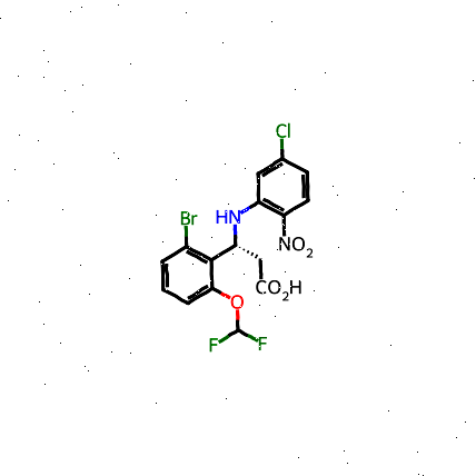 O=C(O)C[C@@H](Nc1cc(Cl)ccc1[N+](=O)[O-])c1c(Br)cccc1OC(F)F